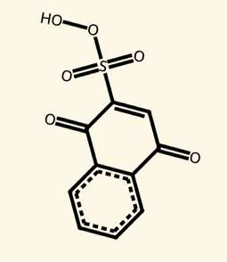 O=C1C=C(S(=O)(=O)OO)C(=O)c2ccccc21